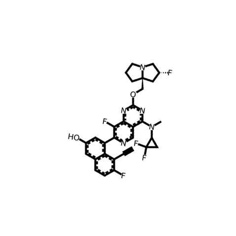 C#Cc1c(F)ccc2cc(O)cc(-c3ncc4c(N(C)C5CC5(F)F)nc(OC[C@@]56CCCN5C[C@H](F)C6)nc4c3F)c12